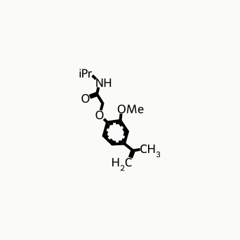 C=C(C)c1ccc(OCC(=O)NC(C)C)c(OC)c1